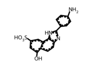 Nc1ccc(-c2nc3ccc4c(O)cc(S(=O)(=O)O)cc4c3[nH]2)cc1